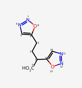 O=C(O)C(CCc1cnno1)c1cnno1